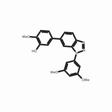 COc1cc(OC)cc(-n2nnc3ccc(-c4ccc(OC)c(O)c4)cc32)c1